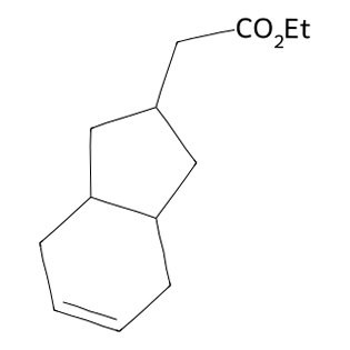 CCOC(=O)CC1CC2CC=CCC2C1